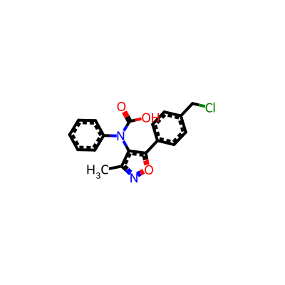 Cc1noc(-c2ccc(CCl)cc2)c1N(C(=O)O)c1ccccc1